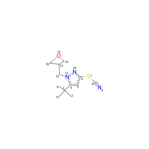 CC(C)(C)c1cc(SC#N)nn1CC1COC1